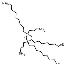 CCCCCCCCCCCCCCCCCC[Si](C)(CCCN)O[Si](CCCN)(CCCCCCCCCCCCCCCCCC)CCCCCCCCCCCCCCCCCC